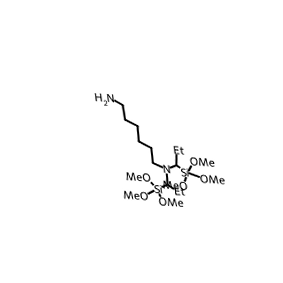 CCC(N(CCCCCCN)C(CC)[Si](OC)(OC)OC)[Si](OC)(OC)OC